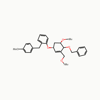 CCCCOCC1=C[C@@H](Oc2ccccc2Cc2ccc(OC)cc2)C[C@@H](OCCCC)C1OCc1ccccc1